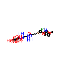 O=C(NCCCCCSc1ccc(Cl)c(COC2(c3cnccc3-c3ccccc3OC3CC3)CC2)c1)NCCCCNC(=O)NC[C@H](O)[C@@H](O)[C@H](O)[C@H](O)CO